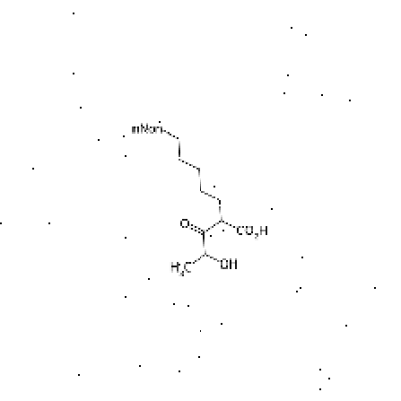 CCCCCCCCCCCCCCC(C(=O)O)C(=O)C(C)O